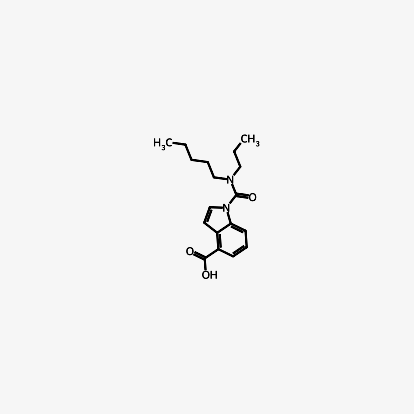 CCCCCN(CCC)C(=O)n1ccc2c(C(=O)O)cccc21